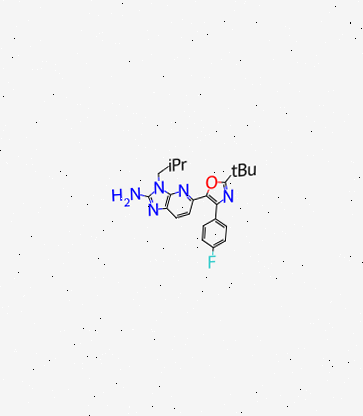 CC(C)Cn1c(N)nc2ccc(-c3oc(C(C)(C)C)nc3-c3ccc(F)cc3)nc21